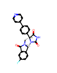 CN1C(=O)NC(=O)[C@]1(CN1Cc2ccc(F)cc2C1=O)c1ccc(-c2ccncc2)cc1